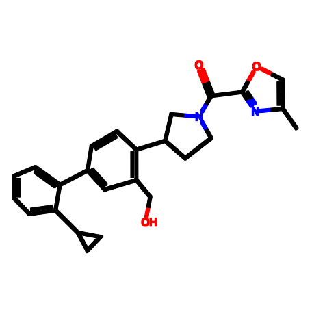 Cc1coc(C(=O)N2CCC(c3ccc(-c4ccccc4C4CC4)cc3CO)C2)n1